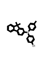 CCc1ccc(N(c2ccc(C)cc2)c2ccc3c(c2)C(C)(C)c2ccccc2-3)cc1